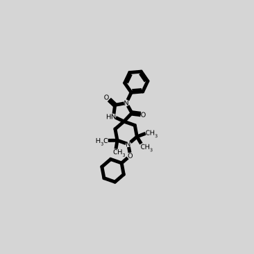 CC1(C)CC2(CC(C)(C)N1OC1CCCCC1)NC(=O)N(c1ccccc1)C2=O